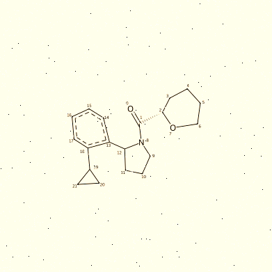 O=C([C@@H]1CCCCO1)N1CCCC1c1ccccc1C1CC1